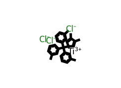 CC1=C[C]([Ti+3])(C(c2cccc(C)c2)(c2cccc(C)c2)c2cccc(C)c2)C=C1C.[Cl-].[Cl-].[Cl-]